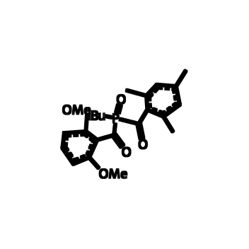 CCC(C)P(=O)(C(=O)c1c(C)cc(C)cc1C)C(=O)c1c(OC)cccc1OC